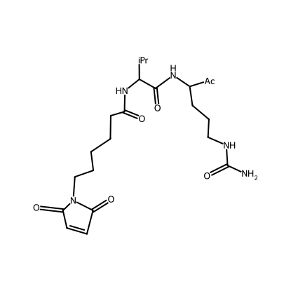 CC(=O)C(CCCNC(N)=O)NC(=O)C(NC(=O)CCCCCN1C(=O)C=CC1=O)C(C)C